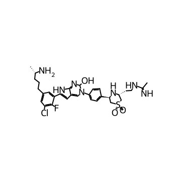 CC(=N)NCC[C@@H]1CS(=O)(=O)C[C@@H](c2ccc(N3C=c4cc(-c5cc(CCC[C@H](C)N)cc(Cl)c5F)[nH]c4=NC3O)cc2)N1